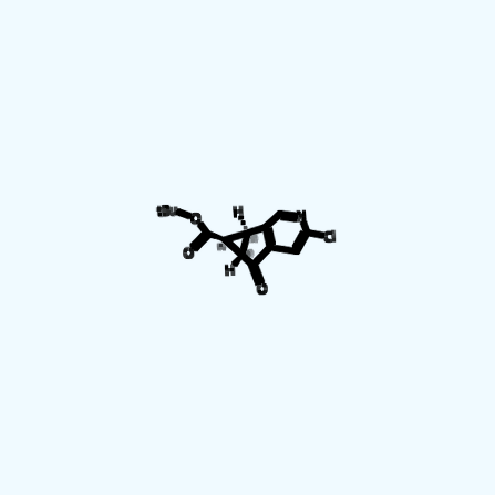 CC(C)(C)OC(=O)[C@@H]1[C@H]2C(=O)c3cc(Cl)ncc3[C@H]12